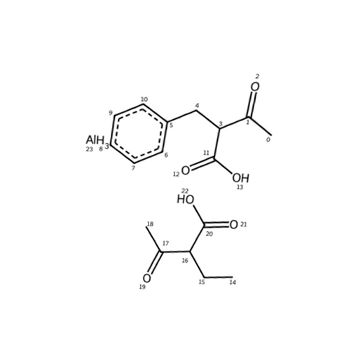 CC(=O)C(Cc1ccccc1)C(=O)O.CCC(C(C)=O)C(=O)O.[AlH3]